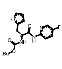 CC(C)(C)OC(=O)N[C@@H](Cc1ccco1)C(=O)Nc1ccc(F)cn1